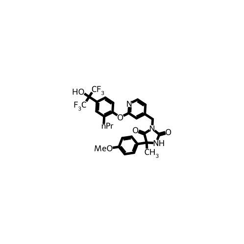 CCCc1cc(C(O)(C(F)(F)F)C(F)(F)F)ccc1Oc1cc(CN2C(=O)NC(C)(c3ccc(OC)cc3)C2=O)ccn1